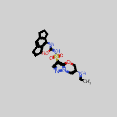 CCN[C@H]1COc2c(S(=O)(=O)NC(O)Nc3c4c(cc5c3CCC5)CCC4)cnn2C1